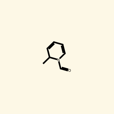 CC1C=CC=CN1C=O